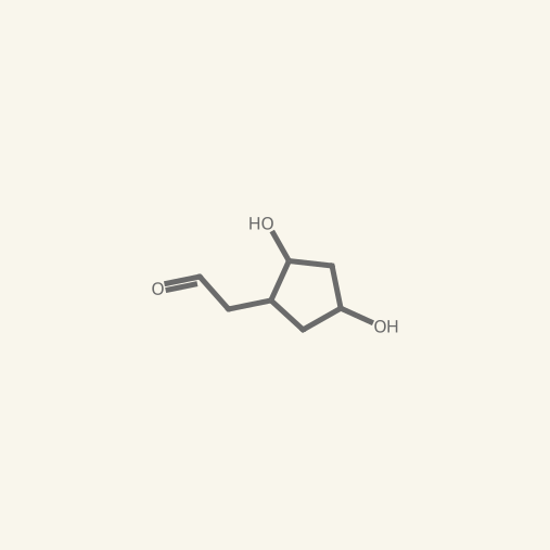 O=CCC1CC(O)CC1O